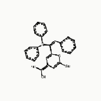 CC(C)(C)C1=CC(=C(C#N)C#N)C=C(C(=Cc2ccccc2)N(c2ccccc2)c2ccccc2)O1